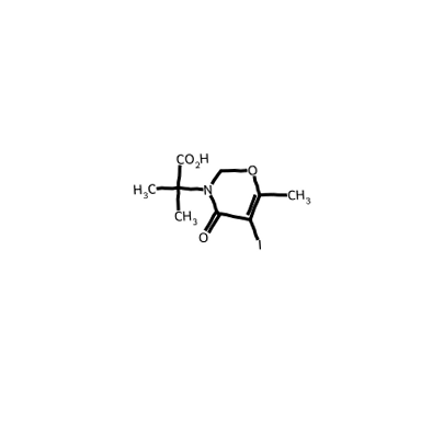 CC1=C(I)C(=O)N(C(C)(C)C(=O)O)CO1